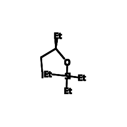 CC[C@H](CI)O[Si](CC)(CC)CC